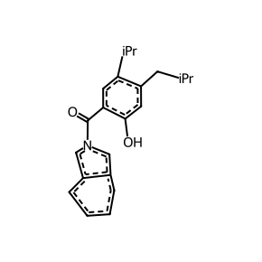 CC(C)Cc1cc(O)c(C(=O)n2cc3ccccc3c2)cc1C(C)C